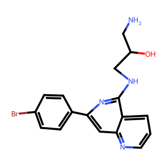 NCC(O)CNc1nc(-c2ccc(Br)cc2)cc2ncccc12